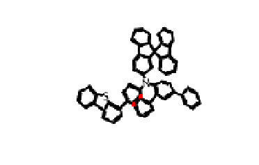 c1ccc(-c2ccc(N(c3ccc(-c4cccc5c4sc4ccccc45)cc3)c3ccc4c(c3)C3(c5ccccc5-c5ccccc53)c3ccccc3-4)c(-c3ccccc3)c2)cc1